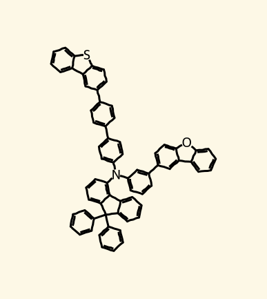 c1ccc(C2(c3ccccc3)c3ccccc3-c3c(N(c4ccc(-c5ccc(-c6ccc7sc8ccccc8c7c6)cc5)cc4)c4cccc(-c5ccc6oc7ccccc7c6c5)c4)cccc32)cc1